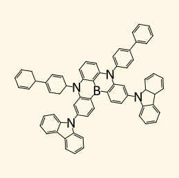 C1=CCC(C2=CCC(N3c4cc(-n5c6ccccc6c6ccccc65)ccc4B4c5ccc(N6c7ccccc7C7C=CC=CC76)cc5N(c5ccc(-c6ccccc6)cc5)c5cccc3c54)C=C2)C=C1